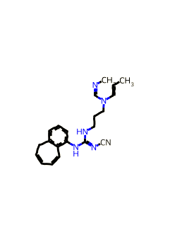 C/C=C/N(/C=N\C)CCCN/C(=N\C#N)Nc1cccc2c1C=CC=CC2